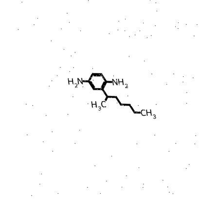 CCCCCC(C)c1cc(N)ccc1N